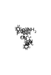 CN1N=C2CCN(C(=O)[C@@H](COc3ccccc3F)NC(=O)C(C)(C)N)C[C@@]2(Cc2ccccc2)C1=O